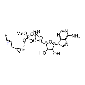 CC/C=C/CC1C[C@H]1COP(=O)(OC)O[PH](O)(O)OC[C@H]1O[C@@H](n2cnc3c(N)ncnc32)C(O)C1O